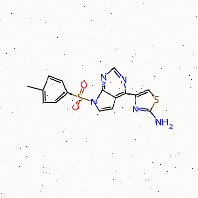 Cc1ccc(S(=O)(=O)n2ccc3c(-c4csc(N)n4)ncnc32)cc1